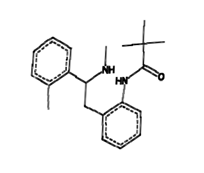 CNC(Cc1ccccc1NC(=O)C(C)(C)C)c1ccccc1C